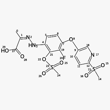 CC(=NNc1ccc(Oc2ccc(S(C)(=O)=O)nc2)c(F)c1OS(C)(=O)=O)C(=O)O